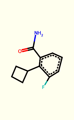 NC(=O)c1cccc(F)c1C1CCC1